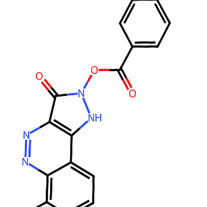 O=C(On1[nH]c2c(nnc3c(F)cccc32)c1=O)c1ccccc1